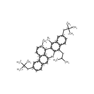 Cc1c2c(c(CC(C)C)c3ccc(CC(C)(C)C)cc13)Sc1cc3ccc(CC(C)(C)C)cc3c3cc[n+](C)c-2c13